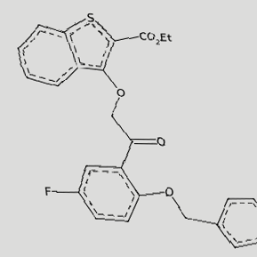 CCOC(=O)c1sc2ccccc2c1OCC(=O)c1cc(F)ccc1OCc1ccccc1